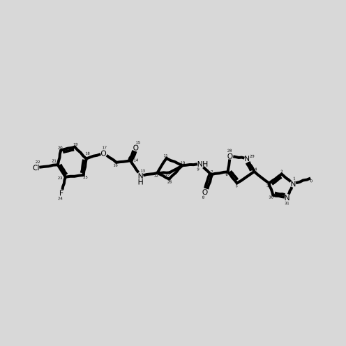 Cn1cc(-c2cc(C(=O)NC34CC(NC(=O)COc5ccc(Cl)c(F)c5)(C3)C4)on2)cn1